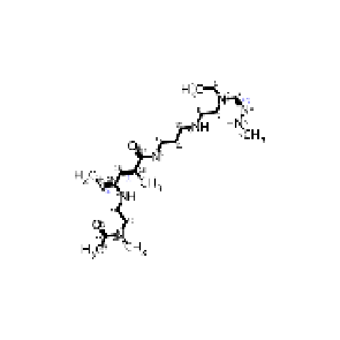 CCN(/C=N\NC)CCNCCCNC(=O)/C(C)=C/C(=N\C)NCCN(C)C(C)=O